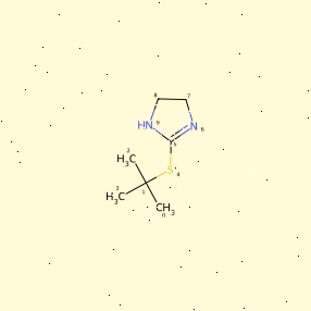 CC(C)(C)SC1=NCCN1